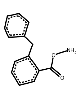 NOC(=O)c1ccccc1Cc1ccccc1